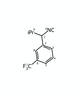 [C-]#[N+]C(c1cccc(C(F)(F)F)c1)C(C)C